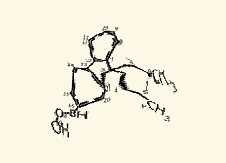 CCCC1(CCC)c2ccccc2-c2ccc(BOO)cc21